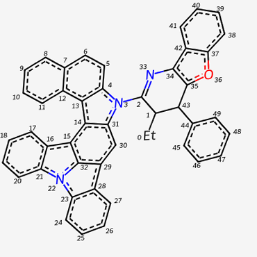 CCC1C(n2c3ccc4ccccc4c3c3c4c5ccccc5n5c6ccccc6c(cc32)c45)=Nc2c(oc3ccccc23)C1c1ccccc1